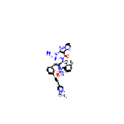 CC(NC(=O)c1c(N)nn2cccnc12)C1=Cc2cccc(C#Cc3cnn(C)c3)c2S(=N)(=O)N1c1ccccc1